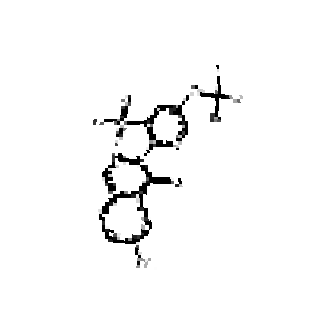 CCS(=O)(=O)c1cc(OC(F)(F)Br)cnc1-n1ncc2ccc(C(F)(F)F)cc2c1=O